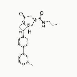 CCCNC(=O)N1CC(=O)N2C[C@H](c3ccc(-c4cccc(C)c4)cc3)[C@@H]2C1